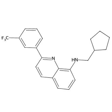 FC(F)(F)c1cccc(-c2ccc3cccc(NCC4CCCC4)c3n2)c1